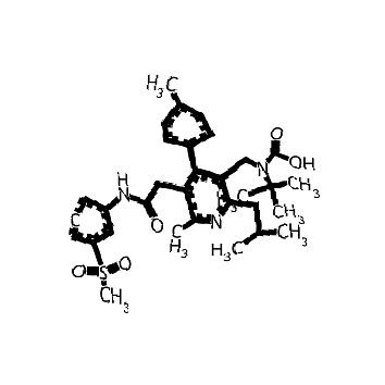 Cc1ccc(-c2c(CC(=O)Nc3cccc(S(C)(=O)=O)c3)c(C)nc(CC(C)C)c2CN(C(=O)O)C(C)(C)C)cc1